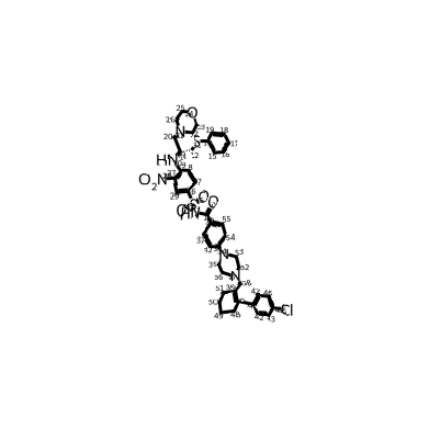 O=C(NS(=O)(=O)c1ccc(N[C@@H](CSc2ccccc2)CN2CCOCC2)c([N+](=O)[O-])c1)c1ccc(N2CCN(CC3=C(c4ccc(Cl)cc4)CCCC3)CC2)cc1